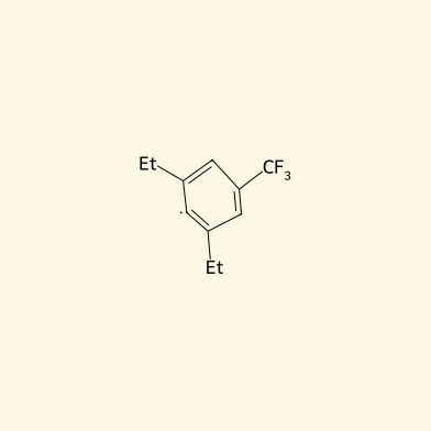 CCc1[c]c(CC)cc(C(F)(F)F)c1